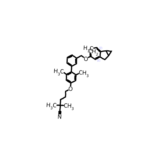 C=C(/C=C1/CC2CC2/C1=C/C)OCc1cccc(-c2c(C)cc(OCCCC(C)(C)C#N)cc2C)c1